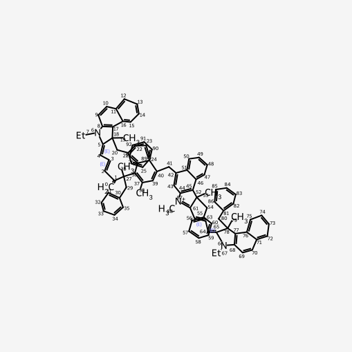 C=C(/C=C/C=C1/N(CC)c2ccc3ccccc3c2C1(C)Cc1ccccc1)C(C)(Cc1ccccc1)c1c(C)cc(Cc2cc3c(c4ccccc24)C(C)(Cc2ccccc2)C(/C=C/C=C2/N(CC)c4ccc5ccccc5c4C2(C)Cc2ccccc2)=[N+]3C)c2ccccc12